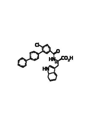 O=C(N[C@H](CC1=CNC2CC=CC=C12)C(=O)O)c1ccc(Cl)c(-c2ccc(-c3ccccc3)cc2)c1